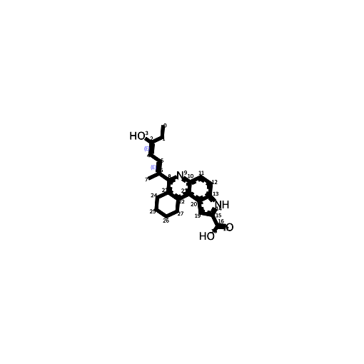 CC/C(O)=C\C=C(/C)c1nc2ccc3[nH]c(C(=O)O)cc3c2c2c1CCCC2